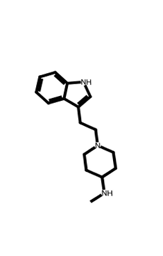 CNC1CCN(CCc2c[nH]c3ccccc23)CC1